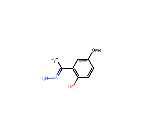 COc1ccc(O)c(C(C)=NN)c1